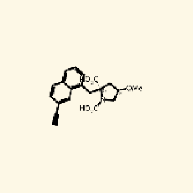 C#Cc1ccc2cccc(C[C@@]3(C(=O)O)C[C@@H](OC)CN3C(=O)O)c2c1